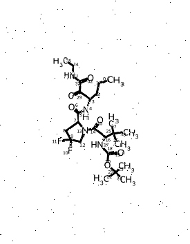 CCCC(NC(=O)[C@@H]1CC(F)(F)CN1C(=O)[C@@H](NC(=O)OC(C)(C)C)C(C)(C)C)C(=O)C(=O)NCC